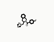 O=C(c1ccc(F)cc1)N1Cc2ccccc2CC1Cn1cncn1